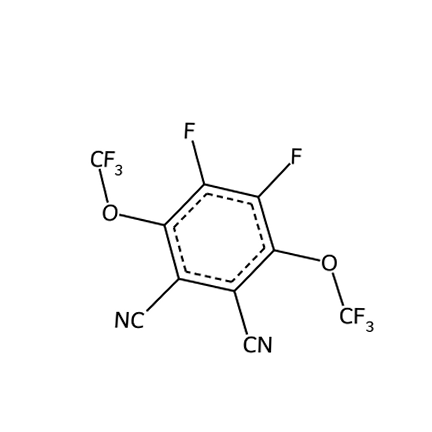 N#Cc1c(C#N)c(OC(F)(F)F)c(F)c(F)c1OC(F)(F)F